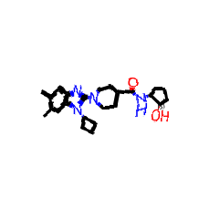 Cc1cc2nc(N3CCC(C(=O)NC4CCC[C@@H]4O)CC3)n(C3CCC3)c2cc1C